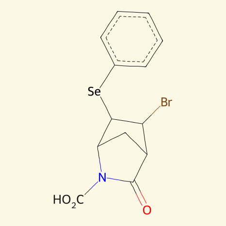 O=C(O)N1C(=O)C2CC1C([Se]c1ccccc1)C2Br